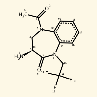 CC(=O)N1C[C@H](N)C(=O)N(CC(F)(F)F)c2ccccc21